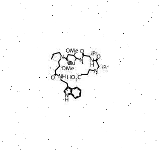 CC[C@H](C)C([C@@H](CC(=O)N1CCC[C@H]1[C@H](OC)[C@@H](C)C(=O)NCCc1c[nH]c2ccccc12)OC)N(C)C(=O)[C@@H](NC(=O)[C@H](C(C)C)N(C)CCCC(=O)O)C(C)C